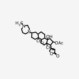 CC(=O)OC1CC2(O)C3CCC4CC(N5CCCN(C)CC5)CCC4(C)C3CCC2(C)C1C1=CC(=O)OC1